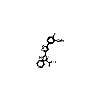 COc1cc(-c2cc(CNC3(C(=O)NO)CCSCC3)no2)ccc1F